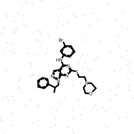 CC(Cn1ncc2c(Nc3cccc(Br)c3)nc(SCCN3CCOCC3)nc21)c1ccccc1